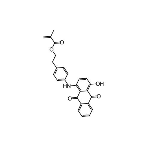 C=C(C)C(=O)OCCc1ccc(Nc2ccc(O)c3c2C(=O)c2ccccc2C3=O)cc1